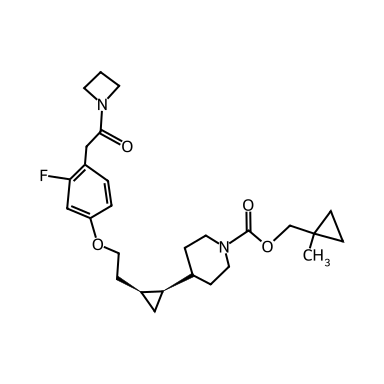 CC1(COC(=O)N2CCC([C@H]3C[C@H]3CCOc3ccc(CC(=O)N4CCC4)c(F)c3)CC2)CC1